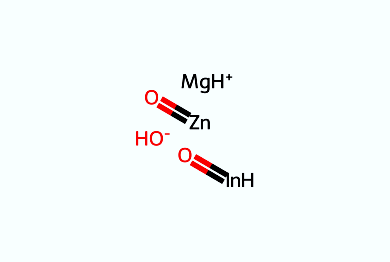 [MgH+].[OH-].[O]=[InH].[O]=[Zn]